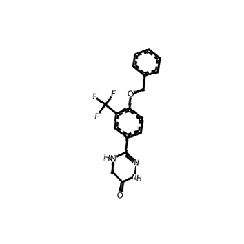 O=C1CNC(c2ccc(OCc3ccccc3)c(C(F)(F)F)c2)=NN1